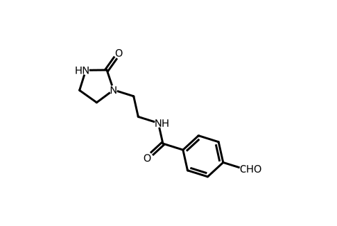 O=Cc1ccc(C(=O)NCCN2CCNC2=O)cc1